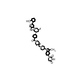 Cc1cn(C2CCN(CC3(F)CCN(C(=O)c4ccc([C@H]5C[C@@H](F)CN(c6cc(-c7ccccc7O)nnc6N)C5)cc4)CC3)CC2)c2ccc(N3CCC(=O)NC3=O)cc12